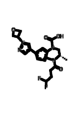 C[C@H]1CN(C(=O)O)c2cc(-c3cnn(C4COC4)c3)ccc2N1C(=O)CCC(F)F